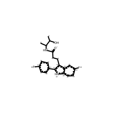 CC(O)C(C)NC(=O)CCc1c(-c2ccc(F)cc2)[nH]c2ccc(F)cc12